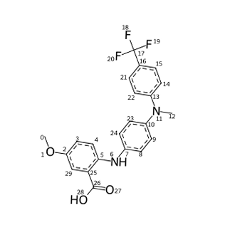 COc1ccc(Nc2ccc(N(C)c3ccc(C(F)(F)F)cc3)cc2)c(C(=O)O)c1